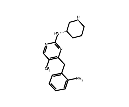 Nc1ccccc1Cc1nc(N[C@H]2CCCNC2)ncc1C(F)(F)F